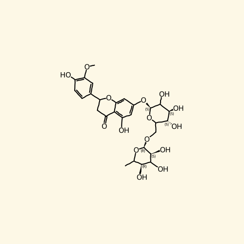 COc1cc(C2CC(=O)c3c(O)cc(O[C@@H]4OC(CO[C@@H]5OC(C)[C@H](O)C(O)[C@@H]5O)[C@@H](O)[C@H](O)C4O)cc3O2)ccc1O